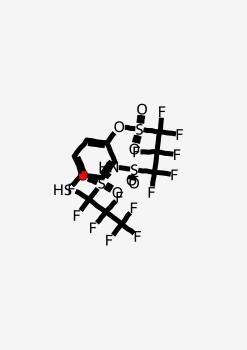 O=S(=O)(NS(=O)(=O)C(F)(F)C(F)(F)C(F)(F)S(=O)(=O)Oc1ccc(S)cc1)C(F)(F)C(F)(F)C(F)(F)F